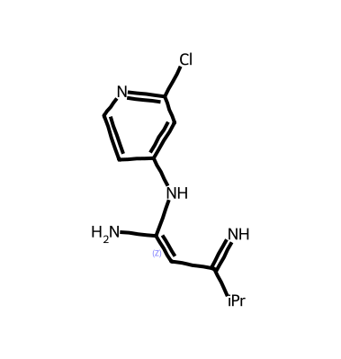 CC(C)C(=N)/C=C(/N)Nc1ccnc(Cl)c1